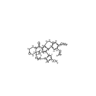 CCCn1nc(C)cc1-c1nc(C(=O)N2CCOCC2(C)C)c2n1-c1cc(OC(C)C)c(OC)cc1CC2